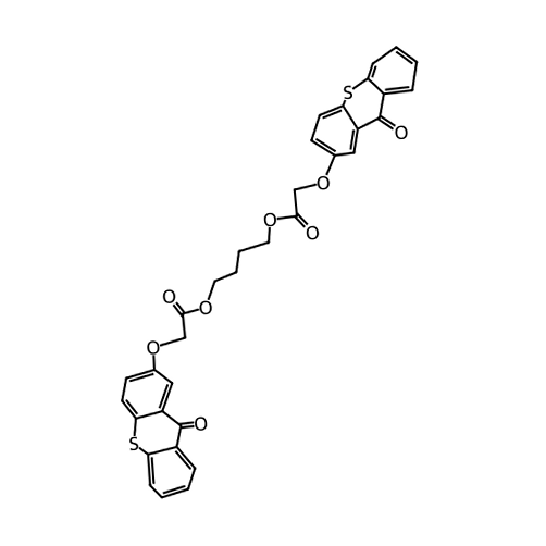 O=C(COc1ccc2sc3ccccc3c(=O)c2c1)OCCCCOC(=O)COc1ccc2sc3ccccc3c(=O)c2c1